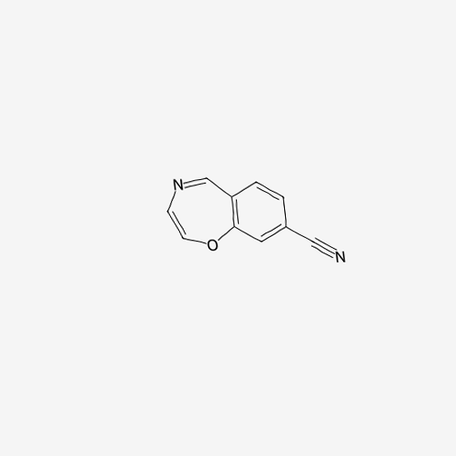 N#Cc1ccc2c(c1)OC=CN=C2